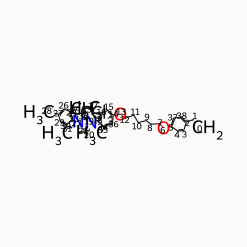 C=Cc1ccc(OCCCCCCOc2cc(C)c(N3CCN(c4c(C)cc(C)cc4C)C3C(Cl)(Cl)Cl)c(C)c2)cc1